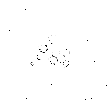 CNC(=O)c1nnc(NC(=O)C2CC2)cc1Nc1nccc2c1N(C)[C@@H](C)c1nn(C)nc1-2